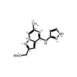 COCc1cc2c(Nc3cc[nH]n3)nc(C)cn2n1